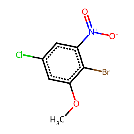 COc1cc(Cl)cc([N+](=O)[O-])c1Br